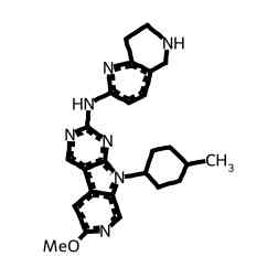 COc1cc2c3cnc(Nc4ccc5c(n4)CCNC5)nc3n(C3CCC(C)CC3)c2cn1